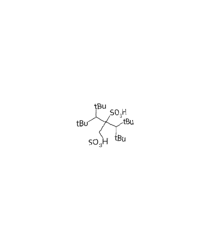 CC(C)(C)C(C(C)(C)C)C(CS(=O)(=O)O)(C(C(C)(C)C)C(C)(C)C)S(=O)(=O)O